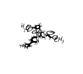 COCC(=O)N1CCC2(CC1)CN(c1ccc(-c3cn[nH]c3)cn1)C(=O)N2Cc1cccc(OC)c1